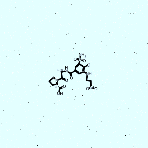 C[C@H](NC(=O)c1cc(NCC[N+](=O)[O-])c(Cl)c(S(N)(=O)=O)c1)C(=O)N1CCC[C@H]1C(=O)O